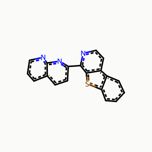 c1cnc2nc(-c3nccc4c3sc3ccccc34)ccc2c1